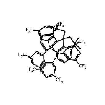 CC1(C)CC2(CC(C)(C)c3cccc(P(c4cc(C(F)(F)F)cc(C(F)(F)F)c4)c4cc(C(F)(F)F)cc(C(F)(F)F)c4)c32)c2c(P(c3cc(C(F)(F)F)cc(C(F)(F)F)c3)c3cc(C(F)(F)F)cc(C(F)(F)F)c3)cccc21